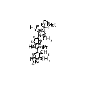 CCN(CC)CC(=O)N1C[C@H](C)N(c2ccc3[nH]c(-c4cn5ncnc5c(C)c4C)c(C(C)C)c3n2)C[C@H]1C